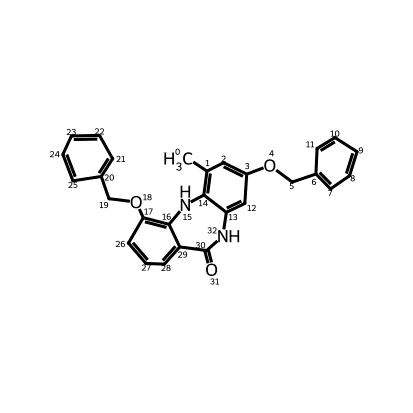 Cc1cc(OCc2ccccc2)cc2c1Nc1c(OCc3ccccc3)cccc1C(=O)N2